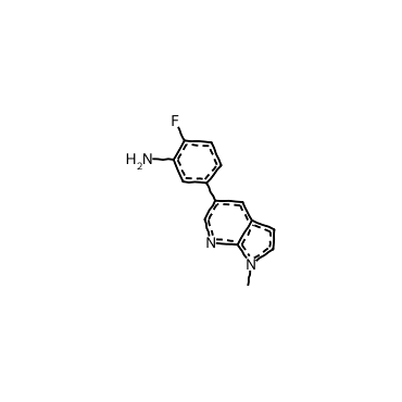 Cn1ccc2cc(-c3ccc(F)c(N)c3)cnc21